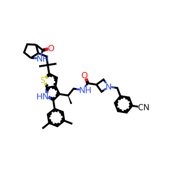 Cc1cc(C)cc(-c2[nH]c3sc(C(C)(C)CC4C5CCC4C(=O)N5)cc3c2[C@H](C)CNC(=O)C2CN(Cc3cccc(C#N)c3)C2)c1